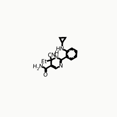 CCC1(C#N)NC(c2ccccc2NC2CC2)=NC=C1C(N)=O